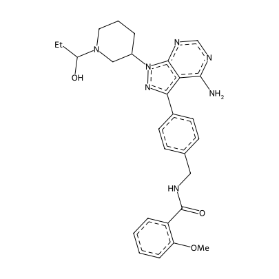 CCC(O)N1CCCC(n2nc(-c3ccc(CNC(=O)c4ccccc4OC)cc3)c3c(N)ncnc32)C1